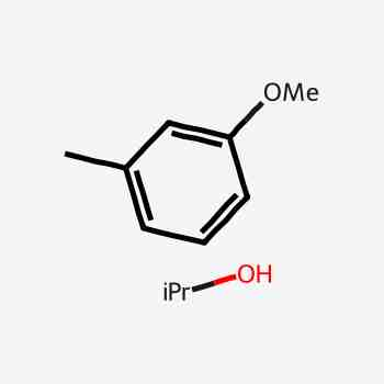 CC(C)O.COc1cccc(C)c1